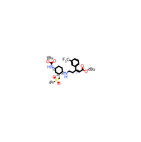 CC(C)S(=O)(=O)C[C@@H]1C[C@@H](NC(=O)OC(C)(C)C)CC[C@H]1NCC/C(=C/C(=O)OC(C)(C)C)c1cccc(C(F)(F)F)c1